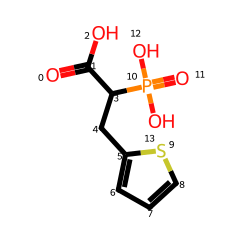 O=C(O)C(Cc1cccs1)P(=O)(O)O